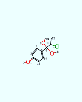 COc1ccc(C(OC)(OC)C(C)Cl)cc1